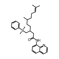 CC(C)=CCCC(C)CCC(CC(=O)Nc1cccc2cccnc12)C[Si](C)(C)c1ccccc1